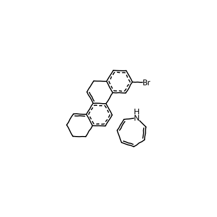 Brc1ccc2c(c1)-c1ccc3c(c1=CC2)=CCCC3.C1=CC=CNC=C1